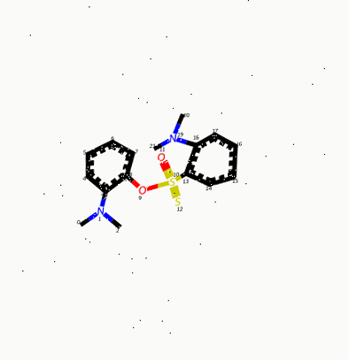 CN(C)c1ccccc1OS(=O)(=S)c1ccccc1N(C)C